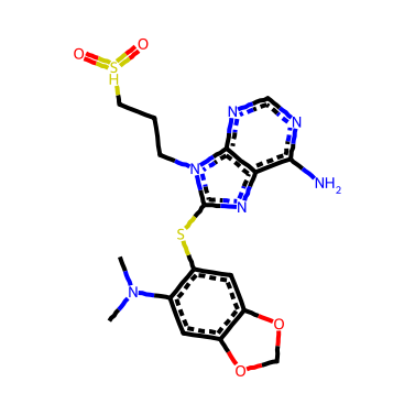 CN(C)c1cc2c(cc1Sc1nc3c(N)ncnc3n1CCC[SH](=O)=O)OCO2